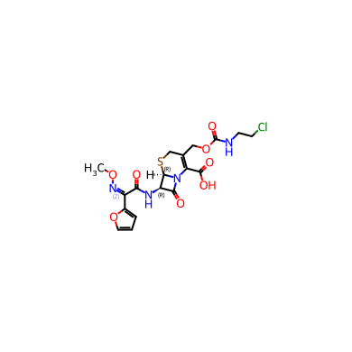 CO/N=C(\C(=O)N[C@@H]1C(=O)N2C(C(=O)O)=C(COC(=O)NCCCl)CS[C@H]12)c1ccco1